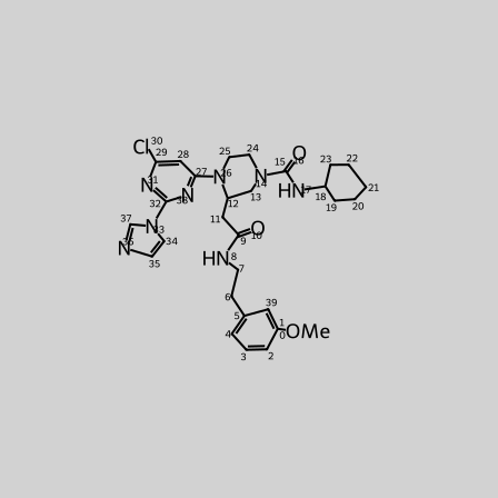 COc1cccc(CCNC(=O)CC2CN(C(=O)NC3CCCCC3)CCN2c2cc(Cl)nc(-n3ccnc3)n2)c1